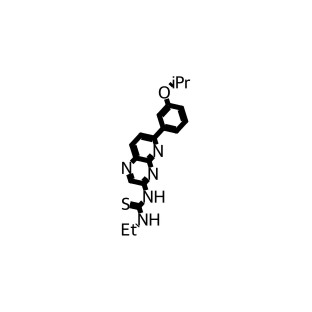 CCNC(=S)Nc1cnc2ccc(-c3cccc(OC(C)C)c3)nc2n1